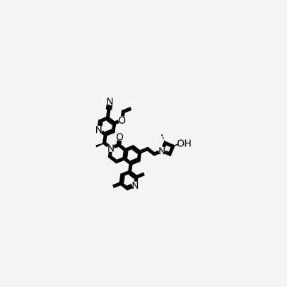 CCOc1cc([C@H](C)N2CCc3c(cc(CCN4C[C@@H](O)[C@H]4C)cc3-c3cc(C)cnc3C)C2=O)ncc1C#N